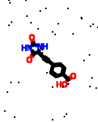 O=C1NC(=O)C(C#Cc2ccc(C(=O)O)cc2)N1